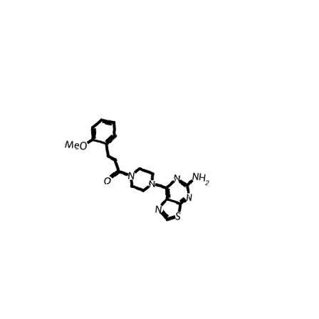 COc1ccccc1CCC(=O)N1CCN(c2nc(N)nc3scnc23)CC1